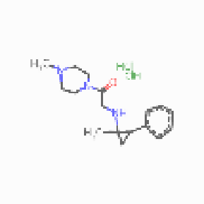 CN1CCN(C(=O)CNC2(C)CC2c2ccccc2)CC1.Cl.Cl